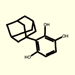 Oc1ccc(O)c(C23CC4CC(CC(C4)C2)C3)c1O